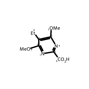 CCc1c(OC)nc(C(=O)O)nc1OC